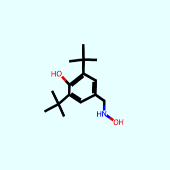 CC(C)(C)c1cc(CNO)cc(C(C)(C)C)c1O